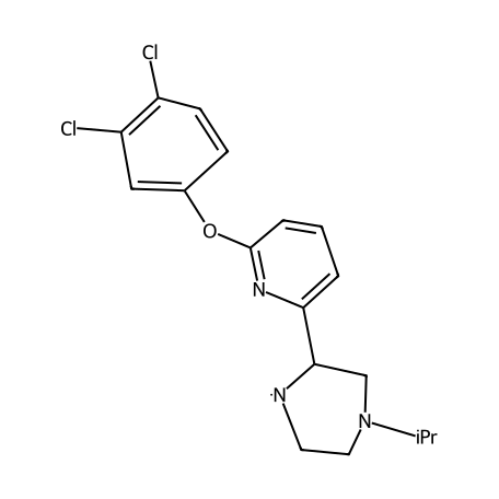 CC(C)N1CC[N]C(c2cccc(Oc3ccc(Cl)c(Cl)c3)n2)C1